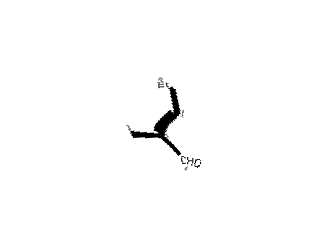 [CH2]CC=C(C)C=O